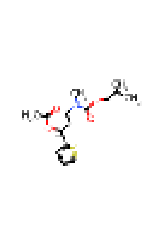 CC(=O)O[C@@H](CCN(C)C(=O)OCC(C)C)c1cccs1